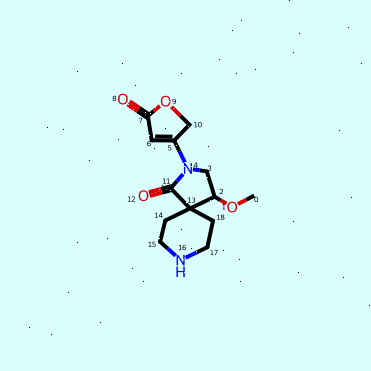 COC1CN(C2=CC(=O)OC2)C(=O)C12CCNCC2